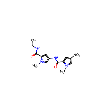 Cn1cc(NC(=O)c2cc([N+](=O)[O-])cn2C)cc1C(=O)NCC#N